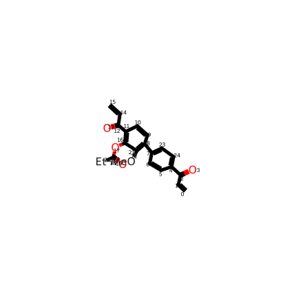 C=CC(=O)c1ccc(-c2ccc(C(=O)C=C)c(OC(=O)CC)c2OC)cc1